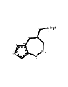 CCCCCCCCC1COOc2c[nH]cc2C1